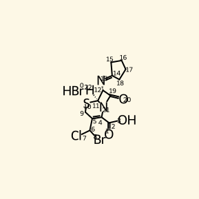 Br.O=C(O)C1=C(C(Cl)Br)CS[C@H]2[C@H](N=C3CCCC3)C(=O)N12